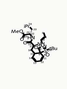 CC=COC(=O)C1(S(=O)(=O)C(C)(C)C)C=CC=CC1C[C@H](N)C(=O)N[C@@H](CC(C)C)C(=O)OC